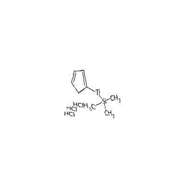 C[Si](C)(C)[Ti][C]1=CC=CC1.Cl.Cl.Cl